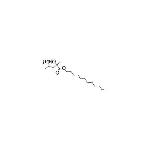 CCCCCCCCCCCCOC(=O)C(C)(O)CC(C)O